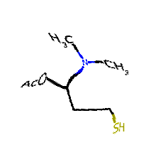 CC(=O)OC(CCS)N(C)C